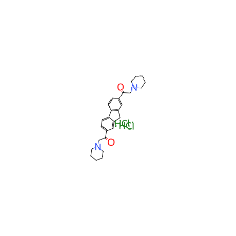 Cl.Cl.O=C(CN1CCCCC1)c1ccc2c(c1)Cc1cc(C(=O)CN3CCCCC3)ccc1-2